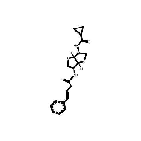 O=C(C/C=C/c1ccccc1)N[C@H]1CO[C@H]2[C@@H]1OC[C@@H]2NC(=O)C1CC1